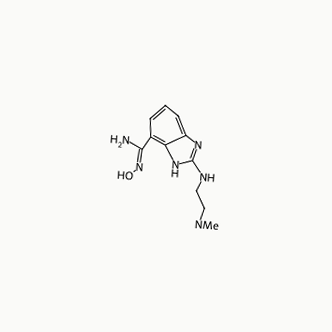 CNCCNc1nc2cccc(C(N)=NO)c2[nH]1